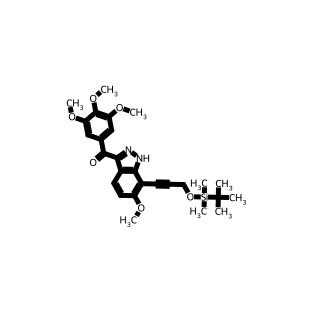 COc1cc(C(=O)c2n[nH]c3c(C#CCO[Si](C)(C)C(C)(C)C)c(OC)ccc23)cc(OC)c1OC